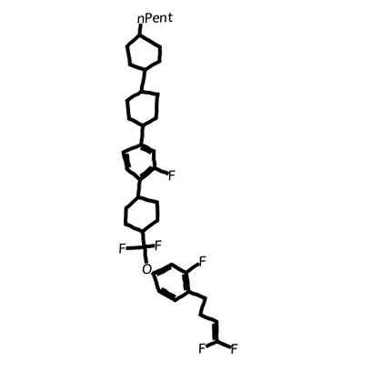 CCCCCC1CCC(C2CCC(c3ccc(C4CCC(C(F)(F)Oc5ccc(CCC=C(F)F)c(F)c5)CC4)c(F)c3)CC2)CC1